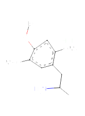 CCOc1cc(OC)c(CC(C)N)cc1OC.Cl